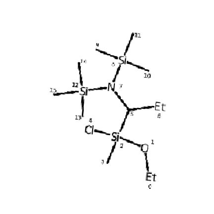 CCO[Si](C)(Cl)C(CC)N([Si](C)(C)C)[Si](C)(C)C